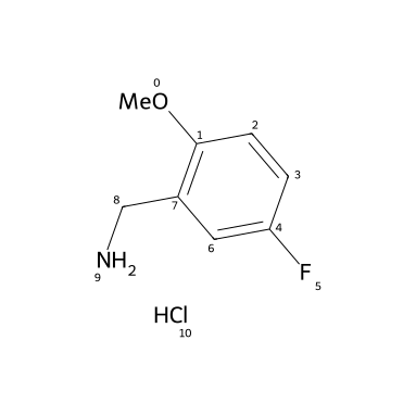 COc1ccc(F)cc1CN.Cl